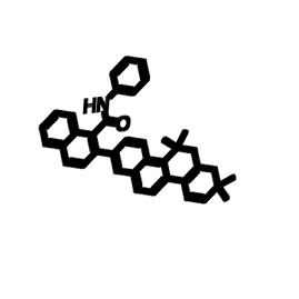 CC1(C)C=CC2=C(C1)CC(C)(C)c1c2ccc2cc(-c3ccc4ccccc4c3C(=O)Nc3ccccc3)ccc12